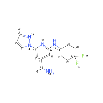 Cc1ccn(-c2cc(C(C)N)cc(NC3CCC(F)(F)CC3)n2)n1